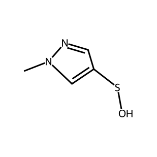 Cn1cc(SO)cn1